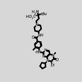 CC[C@@H]1C(=O)N(C)c2cnc(Nc3ccc(C(=O)NC4CCN(CC[C@@](N)(C(=O)O)C(C)(C)C)CC4)cc3C)nc2N1C1CCCC1